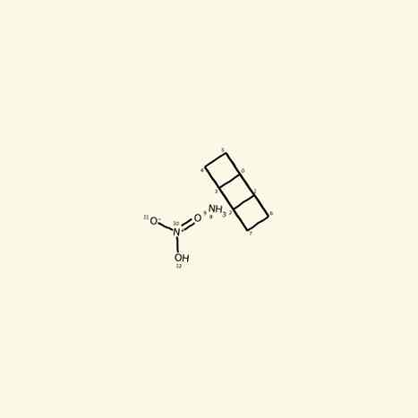 C12C3C4C1C1C2C3C41.N.O=[N+]([O-])O